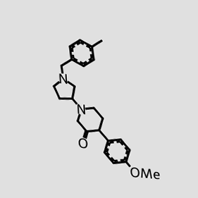 COc1ccc(C2CCN(C3CCN(Cc4ccc(C)cc4)C3)CC2=O)cc1